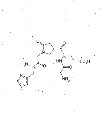 NCC(=O)N[C@@H](CCC(=O)O)C(=O)C1CC(=O)N(CC(=O)[C@@H](N)Cc2c[nH]cn2)C1